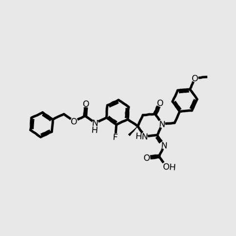 COc1ccc(CN2C(=O)C[C@@](C)(c3cccc(NC(=O)OCc4ccccc4)c3F)N/C2=N\C(=O)O)cc1